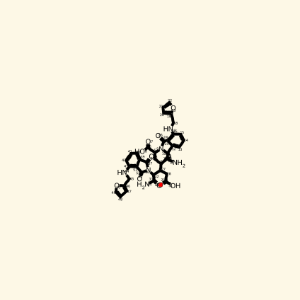 NC(=O)C(CC(C(=O)O)N1C(=O)c2cccc(NCc3ccco3)c2C1=O)C(CC(=O)O)C(C(N)=O)N1C(=O)c2cccc(NCc3ccco3)c2C1=O